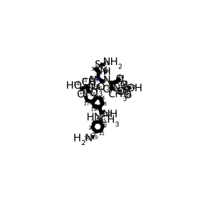 CC1(C)[C@H](NC(=O)/C(=N\O[C@](C)(C(=O)O)[C@H]2CCc3cc(C(=N)N[C@]4(C)CC[C@@H](CN)CC4)ccc3O2)c2csc(N)n2)C(=O)N1OS(=O)(=O)O